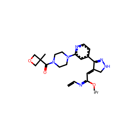 C=C/N=C(\C=C1/CNN=C1c1ccnc(N2CCN(C(=O)C3(C)COC3)CC2)c1)OC(C)C